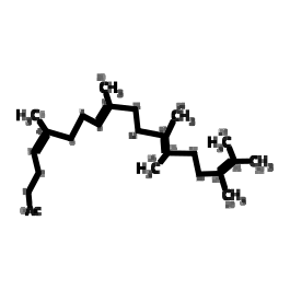 CC(=O)CC/C=C(/C)CC/C=C(\C)CC/C(C)=C(\C)CCC(C)=C(C)C